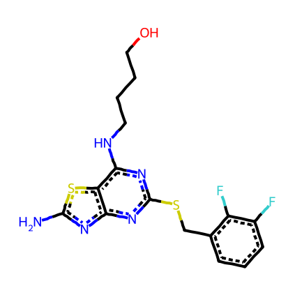 Nc1nc2nc(SCc3cccc(F)c3F)nc(NCCCCO)c2s1